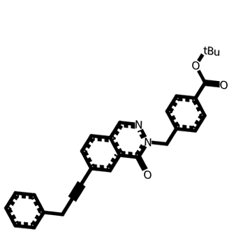 CC(C)(C)OC(=O)c1ccc(Cn2ncc3ccc(C#CCc4ccccc4)cc3c2=O)cc1